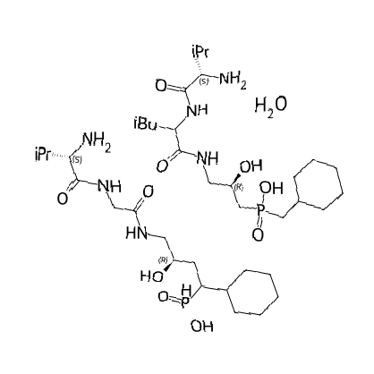 CC(C)[C@H](N)C(=O)NCC(=O)NC[C@H](O)CC(C1CCCCC1)[PH](=O)O.CCC(C)C(NC(=O)[C@@H](N)C(C)C)C(=O)NC[C@@H](O)CP(=O)(O)CC1CCCCC1.O